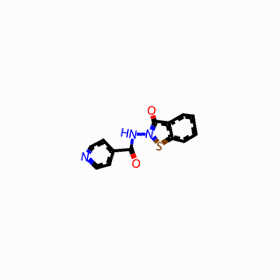 O=C(Nn1sc2ccccc2c1=O)c1ccncc1